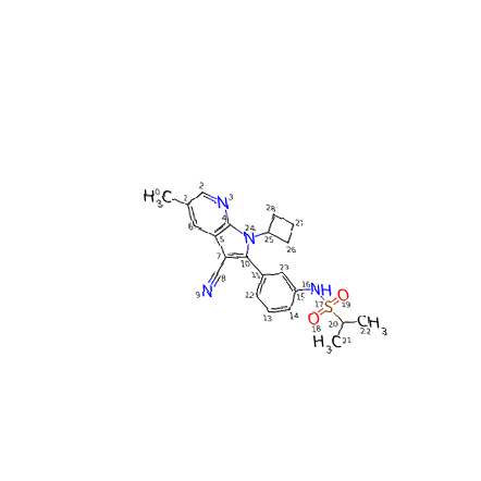 Cc1cnc2c(c1)c(C#N)c(-c1cccc(NS(=O)(=O)C(C)C)c1)n2C1CCC1